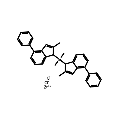 CC1=Cc2c(-c3ccccc3)cccc2C1[Si](C)(C)C1C(C)=Cc2c(-c3ccccc3)cccc21.[Cl-].[Cl-].[Zr+2]